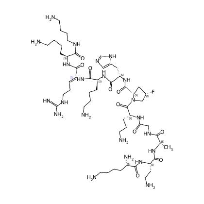 C[C@H](NC(=O)[C@H](CCN)NC(=O)[C@@H](N)CCCCN)C(=O)NCC(=O)N[C@H](CCCN)C(=O)N1C[C@@H](F)C[C@H]1C(=O)N[C@@H](Cc1cnc[nH]1)C(=O)N[C@@H](CCCCN)C(=O)N/C(=C\CCNC(=N)N)C(=O)N[C@@H](CCCCN)C(=O)NCCCCN